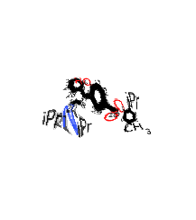 CC(C)[C@H]1CC[C@H](C)C[C@@H]1OC(=O)c1ccc(O)c([C@H](CCN(C(C)C)C(C)C)C2C=CC=CC2)c1